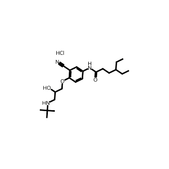 CCC(CC)CCC(=O)Nc1ccc(OCC(O)CNC(C)(C)C)c(C#N)c1.Cl